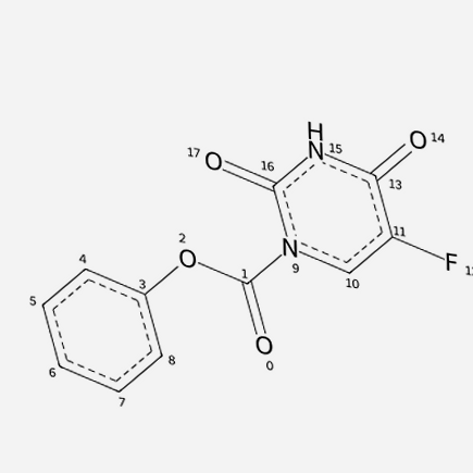 O=C(Oc1ccccc1)n1cc(F)c(=O)[nH]c1=O